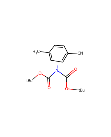 CC(C)(C)OC(=O)NC(=O)OC(C)(C)C.Cc1ccc(C#N)cc1